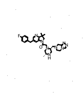 C[C@@H]1CN(CC(=O)N2CC(C)(C)c3ncc(Cc4ccc(F)cc4)cc32)[C@@H](CN2CCn3cnnc3C2)CN1